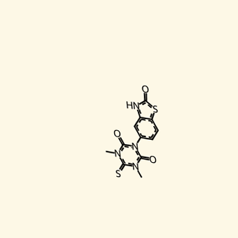 Cn1c(=S)n(C)c(=O)n(-c2ccc3sc(=O)[nH]c3c2)c1=O